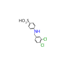 O=S(=O)(O)c1ccc(NCc2ccc(Cl)c(Cl)c2)cc1